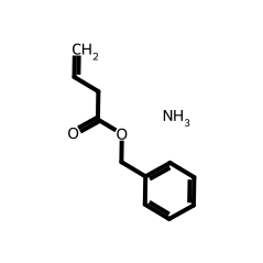 C=CCC(=O)OCc1ccccc1.N